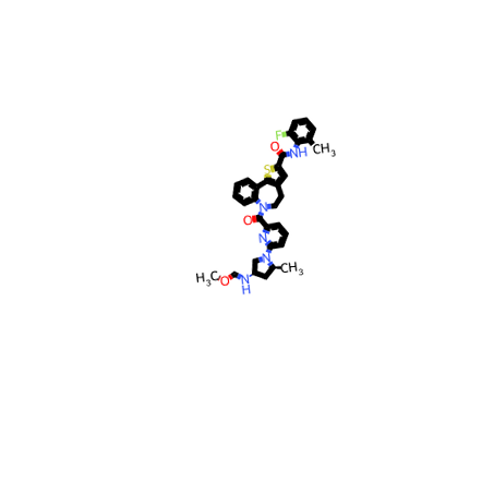 COCN[C@H]1C[C@H](C)N(c2cccc(C(=O)N3CCc4cc(C(=O)Nc5c(C)cccc5F)sc4-c4ccccc43)n2)C1